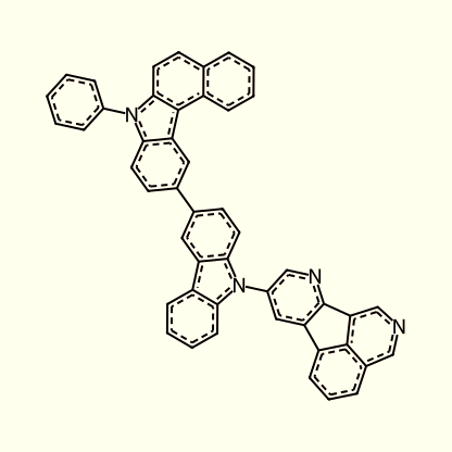 c1ccc(-n2c3ccc(-c4ccc5c(c4)c4ccccc4n5-c4cnc5c(c4)-c4cccc6cncc-5c46)cc3c3c4ccccc4ccc32)cc1